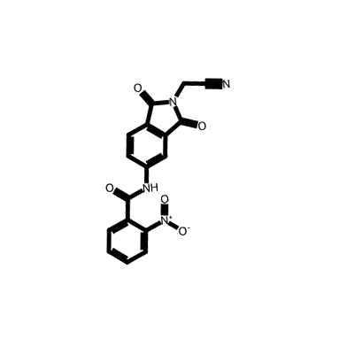 N#CCN1C(=O)c2ccc(NC(=O)c3ccccc3[N+](=O)[O-])cc2C1=O